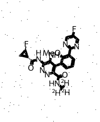 [2H]C([2H])([2H])NC(=O)c1nnc(NC(=O)[C@@H]2C[C@@H]2F)c(N)c1-c1cccc(-c2ncc(F)cn2)c1OC